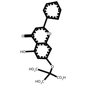 O=C(O)C(Oc1cc(O)c2c(=O)cc(-c3ccccc3)oc2c1)(C(=O)O)C(=O)O